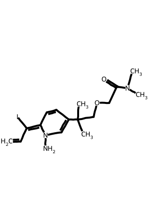 C=C/C(I)=C1/C=CC(C(C)(C)COCC(=O)N(C)C)=CN1N